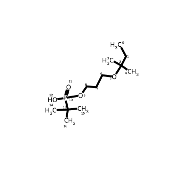 CCC(C)(C)OCCCOP(=O)(O)C(C)(C)C